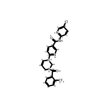 O=C(Nc1ccc(Cl)cn1)c1ccc(N2C=CCN(C(=O)c3ccccc3C(F)(F)F)C2)nc1